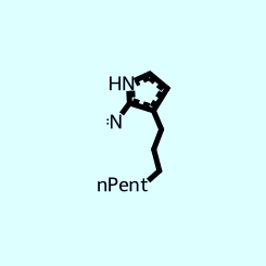 CCCCCCCCc1cc[nH]c1[N]